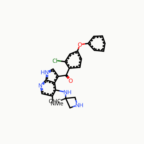 CNc1cnc2[nH]cc(C(=O)c3ccc(Oc4ccccc4)cc3Cl)c2c1NC1(C=O)CNC1